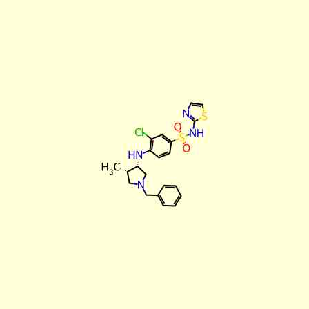 C[C@H]1CN(Cc2ccccc2)C[C@H]1Nc1ccc(S(=O)(=O)Nc2nccs2)cc1Cl